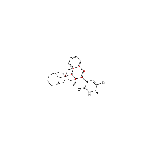 O=c1[nH]c(=O)n(-c2nc3ccccc3n(C3CC4CCCC(C3)N4C3CC4CCCC(C4)C3)c2=O)cc1Br